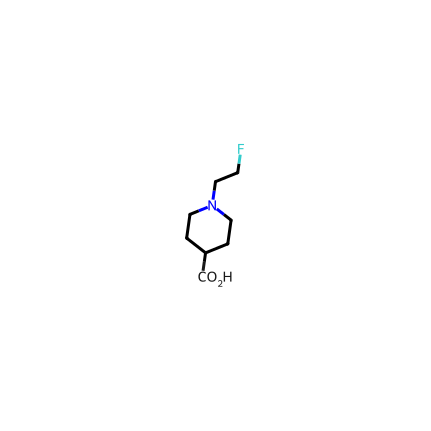 O=C(O)C1CCN(CCF)CC1